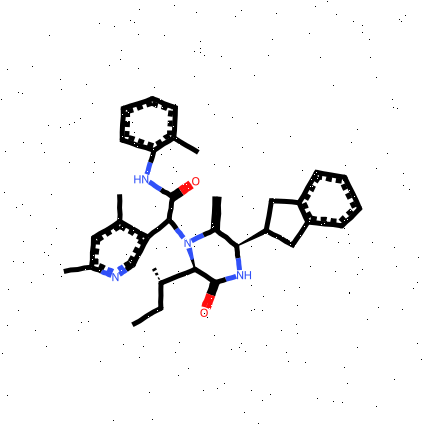 C=C1[C@@H](C2Cc3ccccc3C2)NC(=O)[C@@H]([C@@H](C)CC)N1C(C(=O)Nc1ccccc1C)c1cnc(C)cc1C